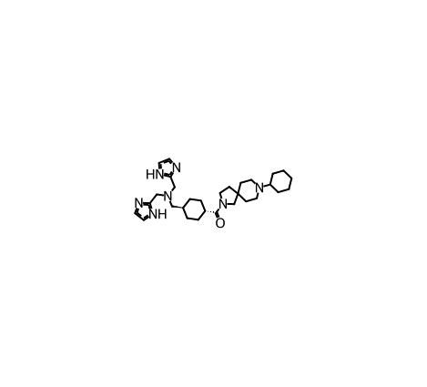 O=C([C@H]1CC[C@H](CN(Cc2ncc[nH]2)Cc2ncc[nH]2)CC1)N1CCC2(CCN(C3CCCCC3)CC2)C1